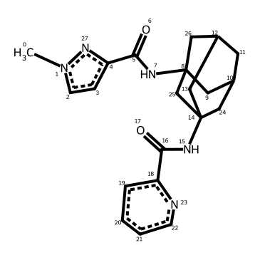 Cn1ccc(C(=O)NC23CC4CC(CC(NC(=O)c5ccccn5)(C4)C2)C3)n1